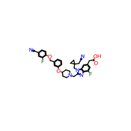 N#CCC1(Cn2c(CN3CCC(Oc4cccc(COc5ccc(C#N)cc5F)c4)CC3)nc3c(F)cc(CC(=O)O)cc32)CC1